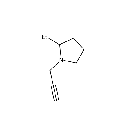 C#CCN1CCCC1CC